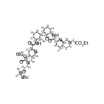 CCOC(=O)CN1CCc2c(C)cc(C(=O)Nc3cccc(-c4cccc(NC(=O)c5ccc(CN(CCO[Si](C)(C)C(C)(C)C)C(=O)OC(C)(C)C)cn5)c4C)c3Cl)nc2C1